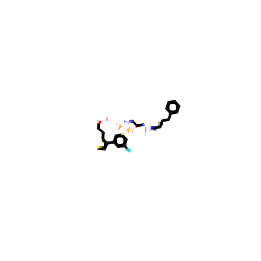 CN(C[C@H](O)CNC(C)(C)CCCc1ccccc1)S(=O)(=O)c1cc(-c2ccsc2CCC(=O)O)cc(C(F)(F)F)c1